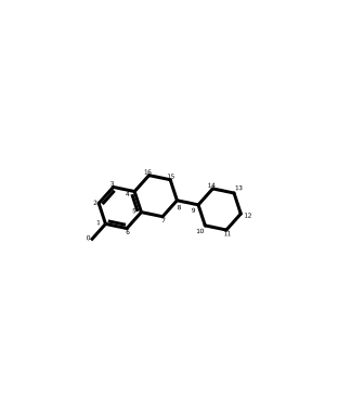 Cc1ccc2c(c1)CC(C1CCCCC1)CC2